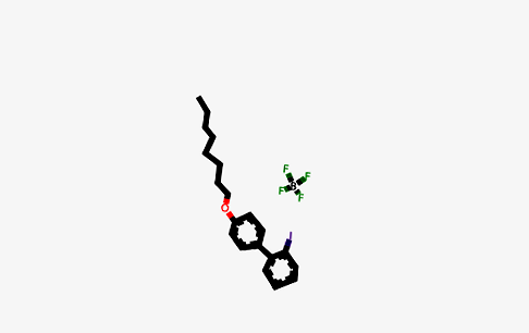 CCCCCCCCOc1ccc(-c2ccccc2I)cc1.F[B-](F)(F)F